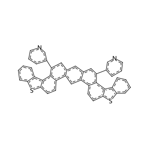 c1cncc(-c2cc3cc4cc(-c5cccnc5)c5c(ccc6sc7ccccc7c65)c4cc3c3ccc4sc5ccccc5c4c23)c1